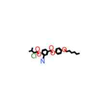 CCCCCCOc1ccc(OC(=O)c2ccc(OC(=O)C(Cl)C(C)C)c(C#N)c2)cc1